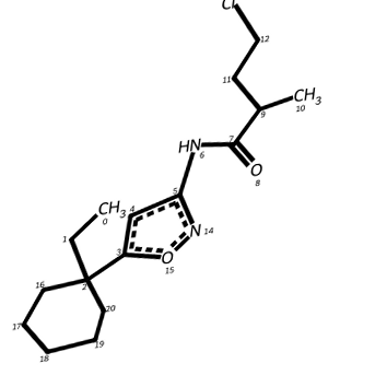 CCC1(c2cc(NC(=O)C(C)CCCl)no2)CCCCC1